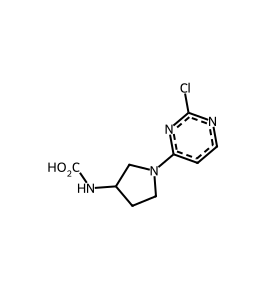 O=C(O)NC1CCN(c2ccnc(Cl)n2)C1